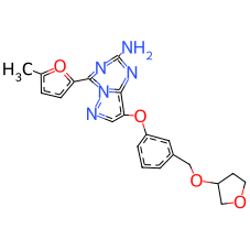 Cc1ccc(-c2nc(N)nc3c(Oc4cccc(COC5CCOC5)c4)cnn23)o1